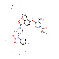 COc1cc(OC2CCN(C(C)=O)CC2C)ccc1C(=O)N1CCC(N2C(=O)OCc3ccccc32)CC1